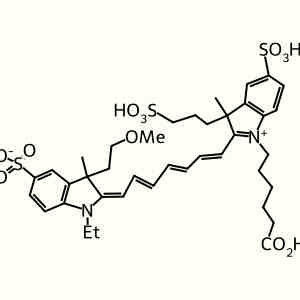 CCN1/C(=C/C=C/C=C/C=C/C2=[N+](CCCCCC(=O)O)c3ccc(S(=O)(=O)O)cc3C2(C)CCCS(=O)(=O)O)C(C)(CCOC)c2cc(S(=O)(=O)[O-])ccc21